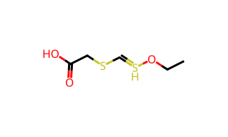 CCO[SH]=CSCC(=O)O